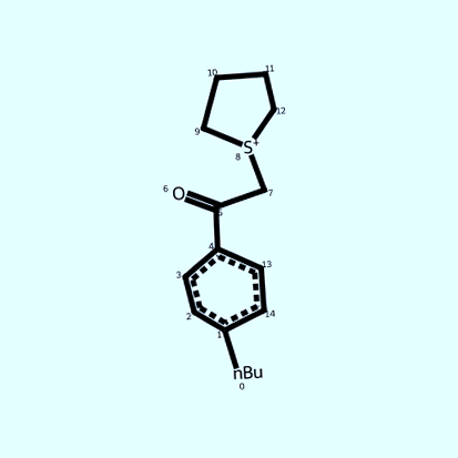 CCCCc1ccc(C(=O)C[S+]2CCCC2)cc1